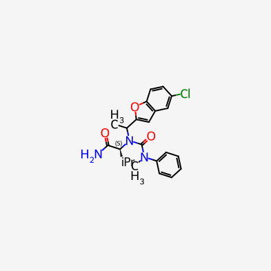 CC(C)[C@@H](C(N)=O)N(C(=O)N(C)c1ccccc1)C(C)c1cc2cc(Cl)ccc2o1